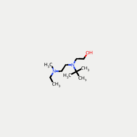 CCN(C)CCN(CCO)C(C)(C)C